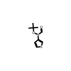 CC(C)(C)ON(C=O)c1ccsc1